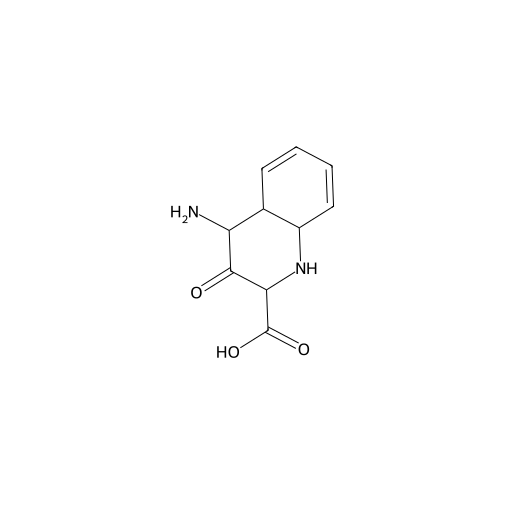 NC1C(=O)C(C(=O)O)NC2C=CC=CC21